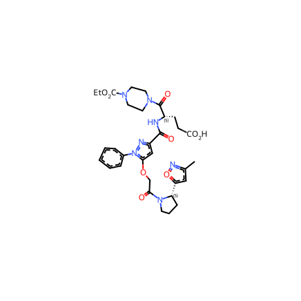 CCOC(=O)N1CCN(C(=O)[C@H](CCC(=O)O)NC(=O)c2cc(OCC(=O)N3CCC[C@H]3c3cc(C)no3)n(-c3ccccc3)n2)CC1